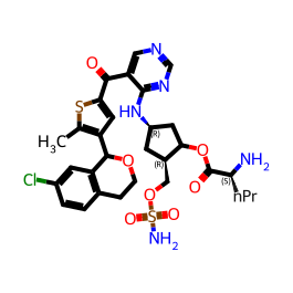 CCC[C@H](N)C(=O)OC1C[C@H](Nc2ncncc2C(=O)c2cc(C3OCCc4ccc(Cl)cc43)c(C)s2)C[C@@H]1COS(N)(=O)=O